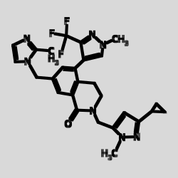 Cc1nccn1Cc1cc2c(c(-c3cn(C)nc3C(F)(F)F)c1)CCN(Cc1cc(C3CC3)nn1C)C2=O